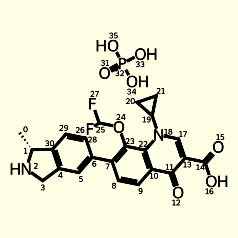 C[C@H]1NCc2cc(-c3ccc4c(=O)c(C(=O)O)cn(C5CC5)c4c3OC(F)F)ccc21.O=P(O)(O)O